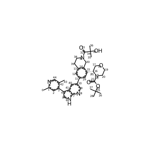 Cc1cc(-c2c[nH]c3ncc(-c4cc5c(c([C@@H]6COCCN6C(=O)OC(C)(C)C)c4)CN(C(=O)C(C)(C)O)CC5)cc23)c(C)cn1